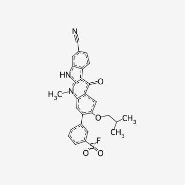 CC(C)COc1cc2c(=O)c3c4ccc(C#N)cc4[nH]c3n(C)c2cc1-c1cccc(S(=O)(=O)F)c1